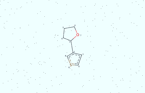 c1cc(C2CCCO2)cs1